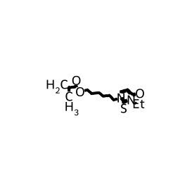 C=C(C)C(=O)OCCCCCCn1ccc(=O)n(CC)c1=S